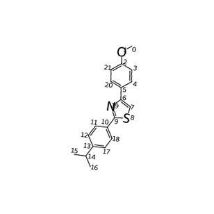 COc1ccc(-c2csc(-c3ccc(C(C)C)cc3)n2)cc1